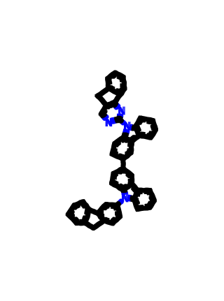 c1ccc2c(c1)Cc1ccc(-n3c4ccccc4c4cc(-c5ccc6c(c5)c5ccccc5n6-c5ncc6c(n5)-c5ccccc5C6)ccc43)cc1-2